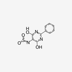 O=S(=O)=Nc1c(O)nc(-c2ccccc2)nc1O